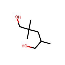 CC(CO)CC(C)(C)CO